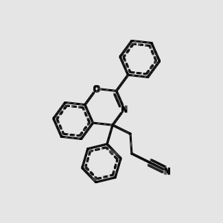 N#CCCC1(c2ccccc2)N=C(c2ccccc2)Oc2ccccc21